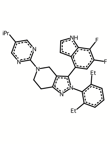 CCc1cccc(CC)c1-n1nc2c(c1-c1cc(F)c(F)c3[nH]ccc13)CN(c1ncc(C(C)C)cn1)CC2